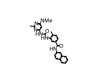 CNc1cc(NC(=O)Nc2cc(C(=O)Nc3ccc4ccccc4c3)ccc2C)nc(C)n1